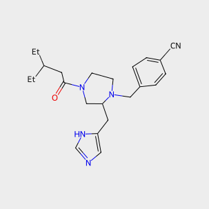 CCC(CC)CC(=O)N1CCN(Cc2ccc(C#N)cc2)C(Cc2cnc[nH]2)C1